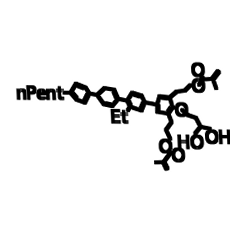 C=C(C)C(=O)OCCCc1cc(-c2ccc(C3=CCC(c4ccc(CCCCC)cc4)C=C3)c(CC)c2)cc(CCCOC(=O)C(=C)C)c1OCCC(CO)CO